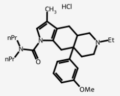 CCCN(CCC)C(=O)n1cc(C)c2c1CC1(c3cccc(OC)c3)CCN(CC)CC1C2.Cl